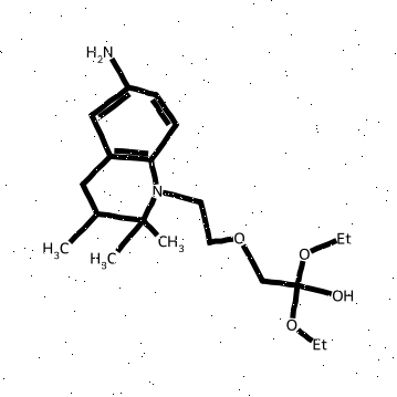 CCOC(O)(COCCN1c2ccc(N)cc2CC(C)C1(C)C)OCC